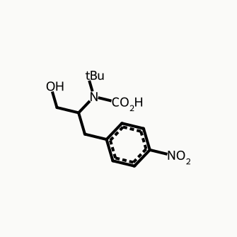 CC(C)(C)N(C(=O)O)C(CO)Cc1ccc([N+](=O)[O-])cc1